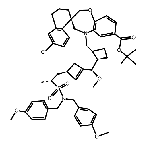 COc1ccc(CN(Cc2ccc(OC)cc2)S(=O)(=O)[C@H](C)C[C@@H]2C=C([C@H](OC)[C@@H]3CC[C@H]3CN3C[C@@]4(CCCc5cc(Cl)ccc54)COc4ccc(C(=O)OC(C)(C)C)cc43)C2)cc1